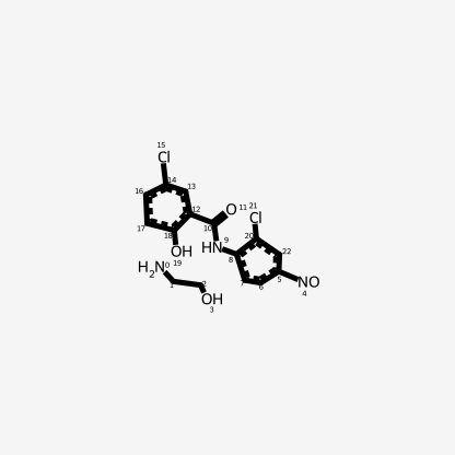 NCCO.O=Nc1ccc(NC(=O)c2cc(Cl)ccc2O)c(Cl)c1